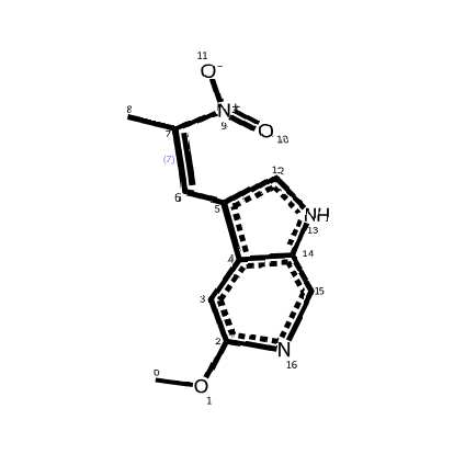 COc1cc2c(/C=C(/C)[N+](=O)[O-])c[nH]c2cn1